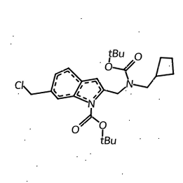 CC(C)(C)OC(=O)N(Cc1cc2ccc(CCl)cc2n1C(=O)OC(C)(C)C)CC1CCC1